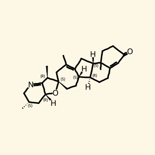 CC1=C2C[C@H]3[C@@H](CCC4=CC(=O)CCC43C)[C@@H]2CC[C@@]2(C1)O[C@@H]1C[C@H](C)CN=C1[C@H]2C